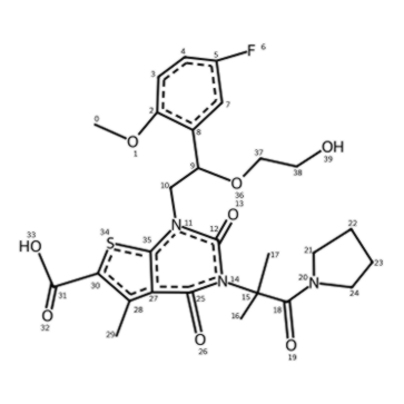 COc1ccc(F)cc1C(Cn1c(=O)n(C(C)(C)C(=O)N2CCCC2)c(=O)c2c(C)c(C(=O)O)sc21)OCCO